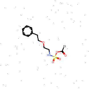 CCC(=O)OS(=O)(=O)NCCOCCc1ccccc1